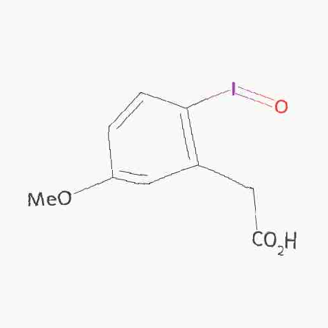 COc1ccc(I=O)c(CC(=O)O)c1